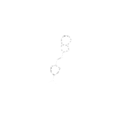 CN(C)c1ccc(N=Nc2nc3ccccc3s2)cc1